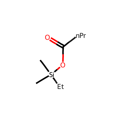 [CH2]CCC(=O)O[Si](C)(C)CC